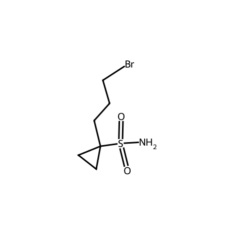 NS(=O)(=O)C1(CCCBr)CC1